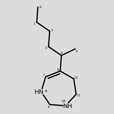 CCCCC(C)C1=CNCNCC1